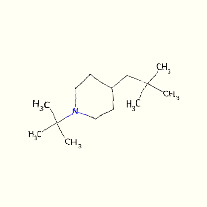 CC(C)(C)CC1CCN(C(C)(C)C)CC1